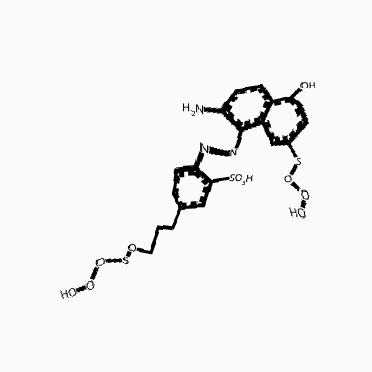 Nc1ccc2c(O)cc(SOOO)cc2c1/N=N/c1ccc(CCCOSOOO)cc1S(=O)(=O)O